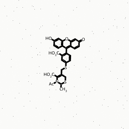 CC(=O)N1C(C(=O)O)=C(CSc2ccc(-c3c4ccc(=O)cc-4oc4cc(O)ccc34)c(C(=O)O)c2)CSC1C